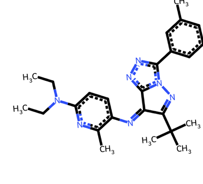 CCN(CC)c1ccc(/N=C2/C(C(C)(C)C)=Nn3c2nnc3-c2cccc(C)c2)c(C)n1